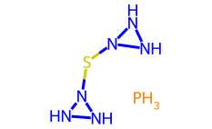 P.[nH]1[nH]n1Sn1[nH][nH]1